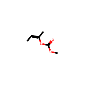 CC=C(C)OC(=O)OC